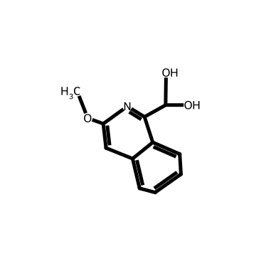 COc1cc2ccccc2c(C(O)O)n1